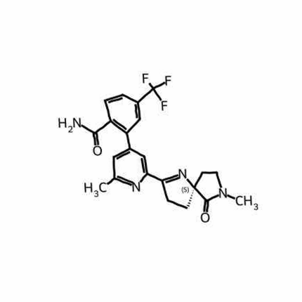 Cc1cc(-c2cc(C(F)(F)F)ccc2C(N)=O)cc(C2=N[C@@]3(CC2)CCN(C)C3=O)n1